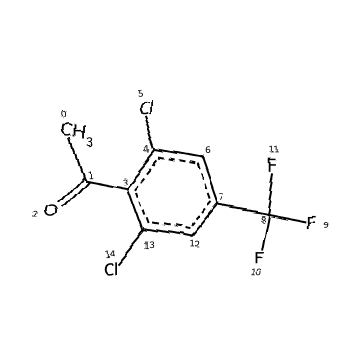 CC(=O)c1c(Cl)cc(C(F)(F)F)cc1Cl